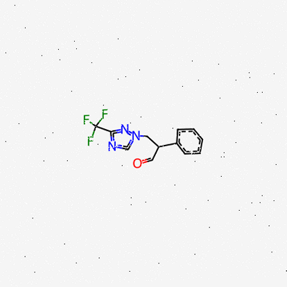 O=CC(Cn1cnc(C(F)(F)F)n1)c1ccccc1